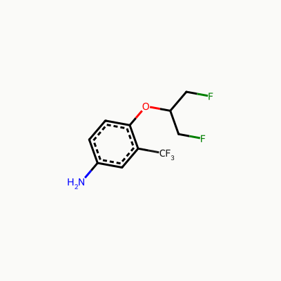 Nc1ccc(OC(CF)CF)c(C(F)(F)F)c1